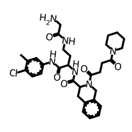 Cc1cc(NC(=O)C(CCNC(=O)CN)NC(=O)C2Cc3ccccc3CN2C(=O)CCC(=O)N2CCCCC2)ccc1Cl